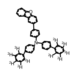 [2H]c1c([2H])c([2H])c(-c2ccc(N(c3ccc(-c4ccc5oc6ccccc6c5c4)cc3)c3ccc(-c4c([2H])c([2H])c([2H])c([2H])c4[2H])cc3)cc2)c([2H])c1[2H]